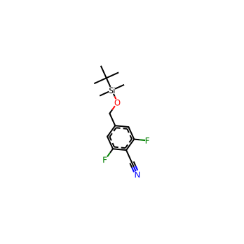 CC(C)(C)[Si](C)(C)OCc1cc(F)c(C#N)c(F)c1